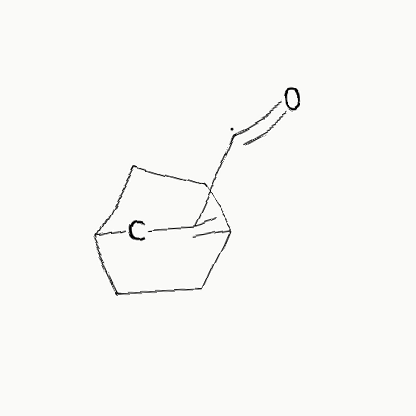 O=[C]C1=C2CCC(CC2)C1